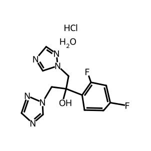 Cl.O.OC(Cn1cncn1)(Cn1cncn1)c1ccc(F)cc1F